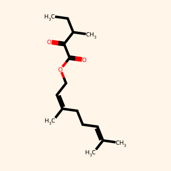 CCC(C)C(=O)C(=O)OCC=C(C)CCC=C(C)C